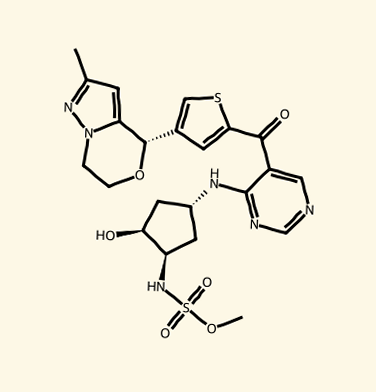 COS(=O)(=O)N[C@@H]1C[C@@H](Nc2ncncc2C(=O)c2cc([C@@H]3OCCn4nc(C)cc43)cs2)C[C@@H]1O